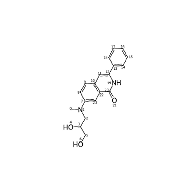 CN(CC(O)CO)c1ccc2cc(-c3ccccc3)[nH]c(=O)c2c1